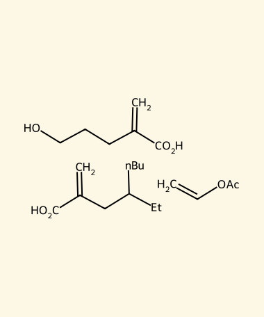 C=C(CC(CC)CCCC)C(=O)O.C=C(CCCO)C(=O)O.C=COC(C)=O